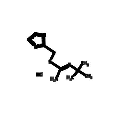 CC(C)(C)N=C(N)SCc1ncco1.Cl